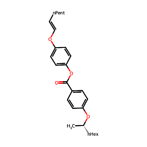 CCCCC/C=C/Oc1ccc(OC(=O)c2ccc(O[C@@H](C)CCCCCC)cc2)cc1